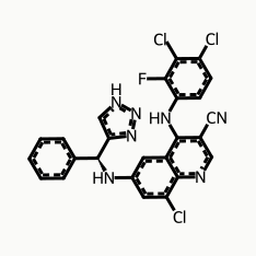 N#Cc1cnc2c(Cl)cc(N[C@@H](c3ccccc3)c3c[nH]nn3)cc2c1Nc1ccc(Cl)c(Cl)c1F